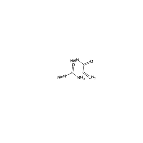 C=CC(=O)NC.CNC(N)=O